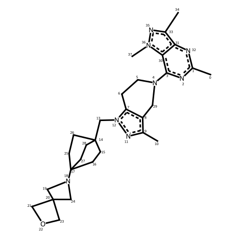 Cc1nc(N2CCc3c(c(C)nn3CC34CCC(N5CC6(COC6)C5)(CC3)CC4)C2)c2c(n1)c(C)nn2C